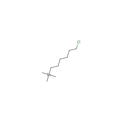 [CH3][Sn]([CH3])([CH3])[CH2]CCCCCCl